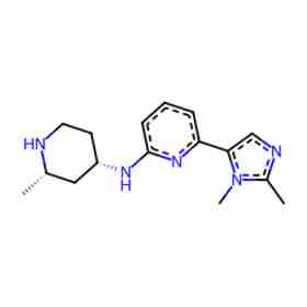 Cc1ncc(-c2cccc(N[C@H]3CCN[C@@H](C)C3)n2)n1C